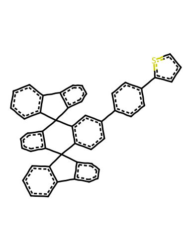 c1csc(-c2ccc(-c3ccc4c(c3)C3(c5ccccc5-c5ccccc53)c3ccccc3C43c4ccccc4-c4ccccc43)cc2)c1